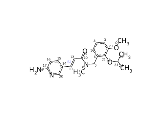 COc1cccc(CN(C)C(=O)/C=C/c2ccc(N)nc2)c1OC(C)C